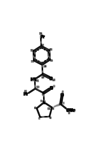 COC(=O)[C@@H]1CCCN1C(=O)C(NC(=O)c1ccc(C(C)C)cc1)C(C)C